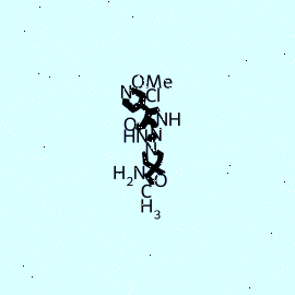 COc1nccc(-c2c[nH]c3nc(N4CCC5(CC4)CO[C@@H](C)[C@H]5N)[nH]c(=O)c23)c1Cl